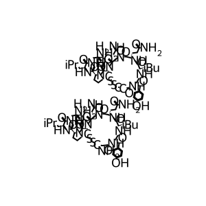 CC[C@H](C)[C@@H]1NC(=O)[C@H](Cc2ccc(O)cc2)NC(=O)CCSSC[C@@H](C(=O)N2CCC[C@H]2C(=O)N[C@@H](CC(C)C)C(=O)NCC(N)=O)NC(=O)[C@H](CC(N)=O)NC(=O)[C@H](CCC(N)=O)NC1=O.CC[C@H](C)[C@@H]1NC(=O)[C@H](Cc2ccc(O)cc2)NC(=O)[C@@H](N)CSSC[C@@H](C(=O)N2CCC[C@H]2C(=O)N[C@@H](CC(C)C)C(=O)NCC(N)=O)NC(=O)[C@H](CC(N)=O)NC(=O)[C@H](CCC(N)=O)NC1=O